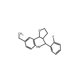 CCc1ccc2c(c1)C1OCCC1C(c1ccccc1F)N2